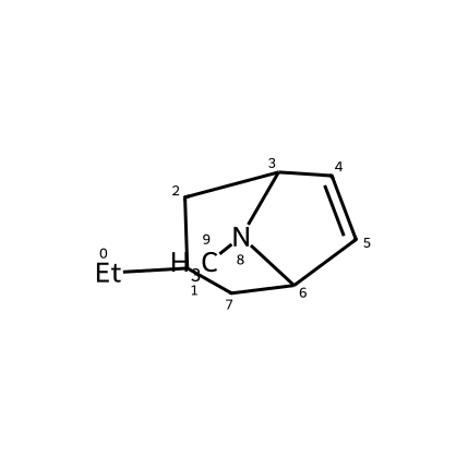 CCC1CC2C=CC(C1)N2C